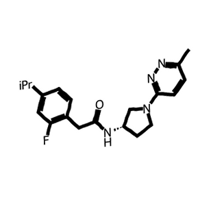 Cc1ccc(N2CC[C@H](NC(=O)Cc3ccc(C(C)C)cc3F)C2)nn1